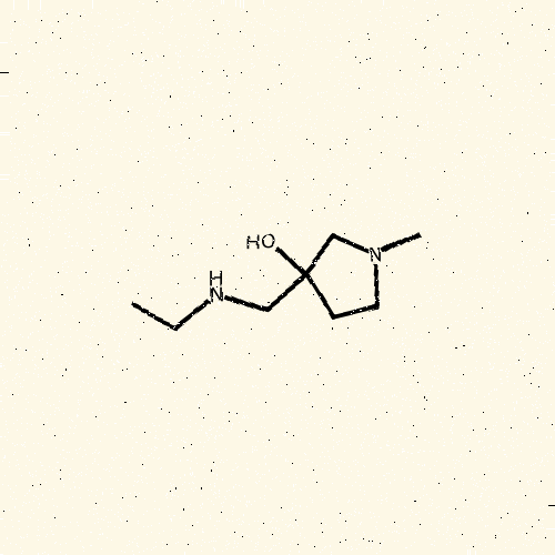 CCNCC1(O)CCN(C)C1